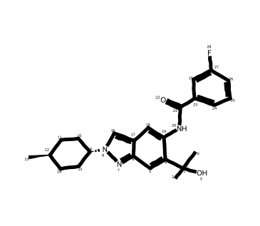 CC(C)(O)c1cc2nn([C@H]3CC[C@H](C)CC3)cc2cc1NC(=O)c1cccc(F)c1